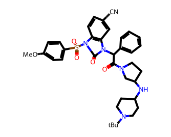 COc1ccc(S(=O)(=O)n2c(=O)n(C(C(=O)N3CCC(NC4CCN(C(C)(C)C)CC4)C3)c3ccccc3)c3cc(C#N)ccc32)cc1